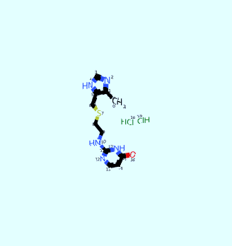 Cc1nc[nH]c1CSCCNc1nccc(=O)[nH]1.Cl.Cl